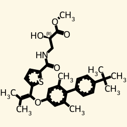 COC(=O)[C@H](O)CNC(=O)c1ccc(C(Oc2cc(C)c(-c3ccc(C(C)(C)C)cc3)c(C)c2)=C(C)C)s1